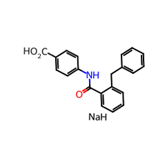 O=C(O)c1ccc(NC(=O)c2ccccc2Cc2ccccc2)cc1.[NaH]